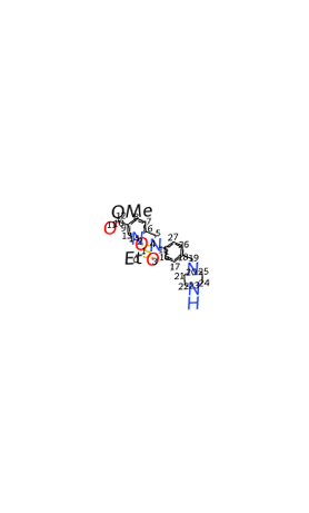 CCS(=O)(=O)N(Cc1ccc(C(=O)OC)cn1)c1ccc(CN2CCNCC2)cc1